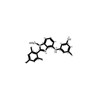 CCCCCCn1c(-c2c(C)cc(C)cc2C)nc2c(Nc3cc(C)cc(S)c3)cccc21